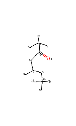 CC(CC(=O)C(C)(C)C)CC(C)(C)C